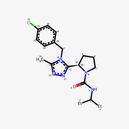 CCC(CC)NC(=O)N1CCC[C@@H]1c1nnc(C)n1Cc1ccc(Cl)cc1